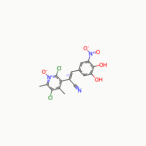 Cc1c(Cl)c(C)[n+]([O-])c(Cl)c1/C(C#N)=C/c1cc(O)c(O)c([N+](=O)[O-])c1